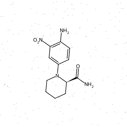 NC(=O)[C@H]1CCCCN1c1ccc(N)c([N+](=O)[O-])c1